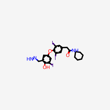 N=NCc1cc(Oc2c(I)cc(CC(=O)NC3CCCCC3)cc2I)cc(I)c1O